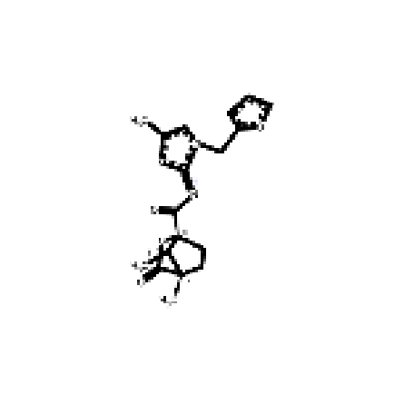 Cc1cn(Cc2ccco2)/c(=N/C(=O)[C@]23CC[C@](C)(C(=O)O2)C3(C)C)s1